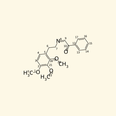 COc1ccc(CC/N=C\C(=O)c2ccccc2)c(OC)c1OC